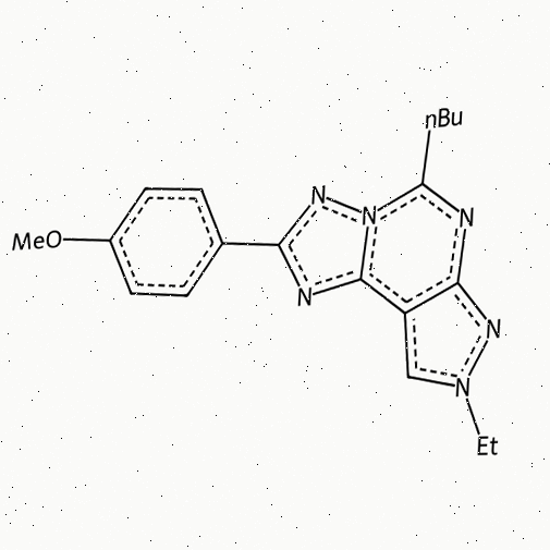 CCCCc1nc2nn(CC)cc2c2nc(-c3ccc(OC)cc3)nn12